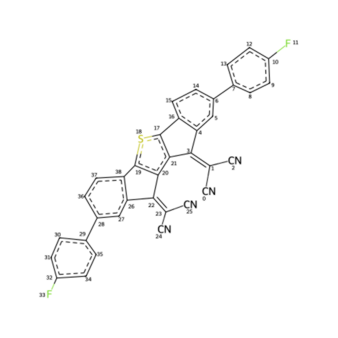 N#CC(C#N)=C1c2cc(-c3ccc(F)cc3)ccc2-c2sc3c(c21)C(=C(C#N)C#N)c1cc(-c2ccc(F)cc2)ccc1-3